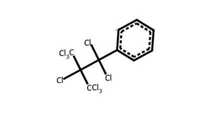 ClC(Cl)(Cl)C(Cl)(C(Cl)(Cl)Cl)C(Cl)(Cl)c1[c]cccc1